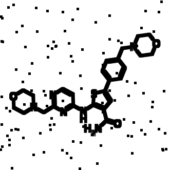 NC(=O)c1cc(-c2ccc(CN3CCOCC3)cc2)sc1Nc1ccnc(CN2CCOCC2)n1